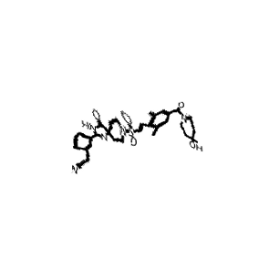 Cc1cc(C(=O)N2CCC(C)(O)CC2)cc(C)c1C=CS(=O)(=O)N1CCC2(CC1)N=C(c1cccc(CC#N)c1)NC2=O